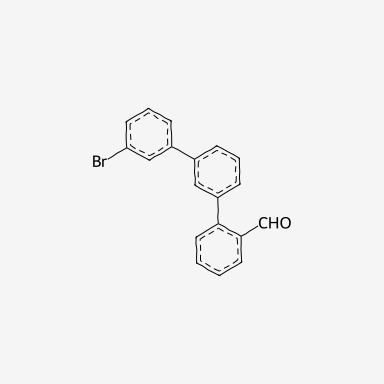 O=Cc1ccccc1-c1cccc(-c2cccc(Br)c2)c1